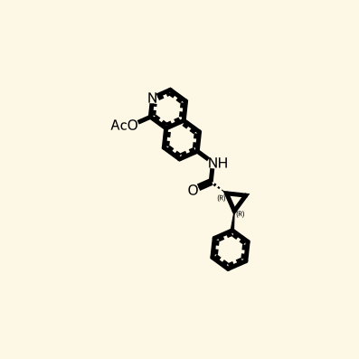 CC(=O)Oc1nccc2cc(NC(=O)[C@@H]3C[C@H]3c3ccccc3)ccc12